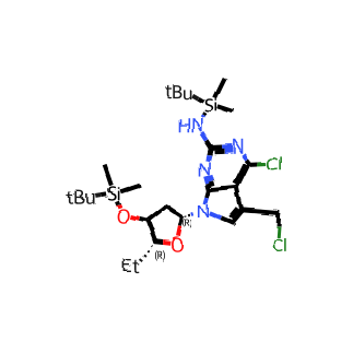 CC[C@H]1O[C@@H](n2cc(CCl)c3c(Cl)nc(N[Si](C)(C)C(C)(C)C)nc32)CC1O[Si](C)(C)C(C)(C)C